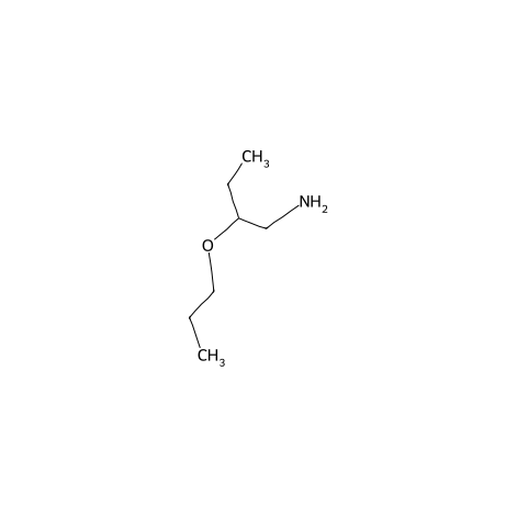 CCCOC(CC)CN